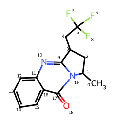 CC1CC(CC(F)(F)F)c2nc3ccccc3c(=O)n21